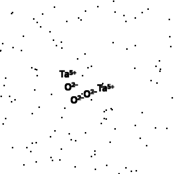 [O-2].[O-2].[O-2].[Ta+5].[Ta+5]